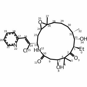 CC[C@H]1C(=O)C(C)(C)[C@@H](O)CC(=O)N[C@H](C(Cl)=Cc2ccccn2)CC2OC2(C)CCC[C@H](C)[C@@H]1O